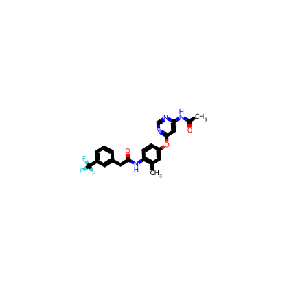 CC(=O)Nc1cc(Oc2ccc(NC(=O)Cc3cccc(C(F)(F)F)c3)c(C)c2)ncn1